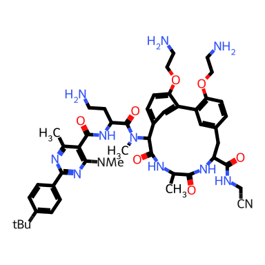 CNc1nc(-c2ccc(C(C)(C)C)cc2)nc(C)c1C(=O)NC(CCN)C(=O)N(C)C1C(=O)NC(C)C(=O)NC(C(=O)NCC#N)Cc2ccc(OCCN)c(c2)-c2cc1ccc2OCCN